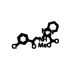 COC(=O)c1c(NCC(=O)c2cccc(Cl)c2)nc2n1CCCC2